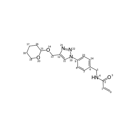 C=CC(=O)NCc1ccc(-n2cc(COC3CCCCO3)nn2)cc1